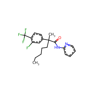 CCCCCC(C)(C(=O)Nc1ccccn1)c1ccc(C(F)(F)F)c(F)c1